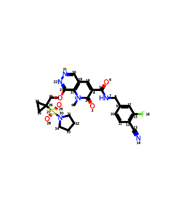 Cn1c(=O)c(C(=O)NCc2ccc(C#N)c(F)c2)cc2cnnc(OCC3(S(=O)(=O)N4CCCC4)CC3)c21